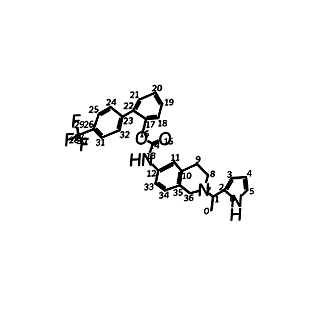 CC(c1ccc[nH]1)N1CCc2cc(NC(=O)Oc3ccccc3-c3ccc(C(F)(F)F)cc3)ccc2C1